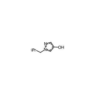 C[C](C)Cn1cc(O)cn1